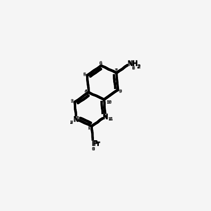 CC(C)c1ncc2ccc(N)cc2n1